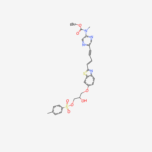 Cc1ccc(S(=O)(=O)OCC(O)COc2ccc3nc(/C=C/C#Cc4cnc(N(C)C(=O)OC(C)(C)C)cn4)sc3c2)cc1